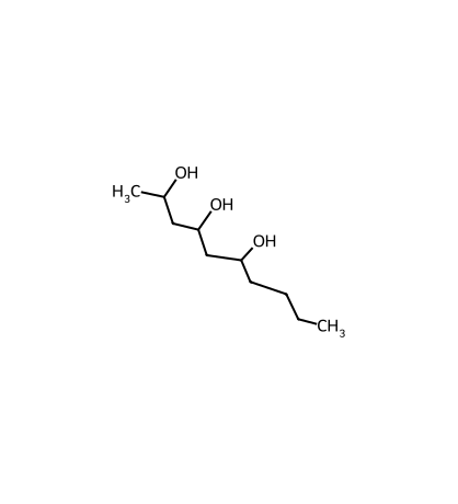 CCCCC(O)CC(O)CC(C)O